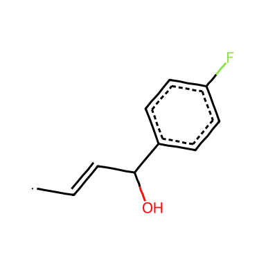 [CH2]C=CC(O)c1ccc(F)cc1